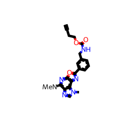 C#CCCOC(=O)NCc1cccc(-c2nc3c(nc(NC)c4ncn(C)c43)o2)c1